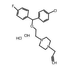 C#CCN1CCN(CCOC(c2ccc(F)cc2)c2ccc(Cl)cc2)CC1.Cl.Cl